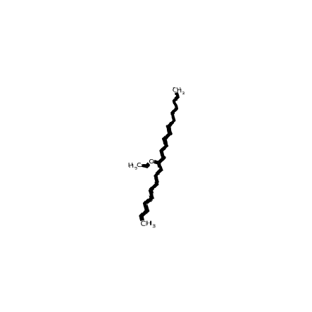 CCCCCCCCCCCCC(CCCCCCCCC)OCC